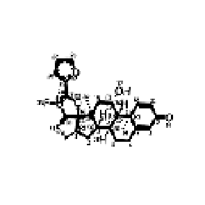 C[C@@H]1C[C@H]2[C@@H]3CCC4=CC(=O)C=C[C@]4(C)[C@H]3[C@@H](O)C[C@]2(C)[C@@]1(OC(=O)c1ccco1)C(=S)OF